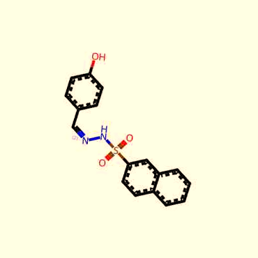 O=S(=O)(N/N=C\c1ccc(O)cc1)c1ccc2ccccc2c1